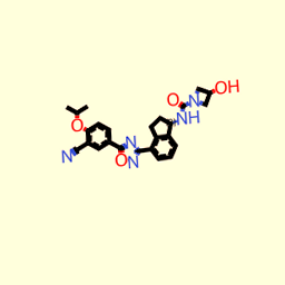 CC(C)Oc1ccc(-c2nc(-c3cccc4c3CC[C@H]4NC(=O)N3CC(O)C3)no2)cc1C#N